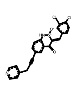 O=C1/C(=C/c2ccc(Cl)c(Cl)c2)[S+]([O-])Nc2ccc(C#CCc3ccncc3)cc21